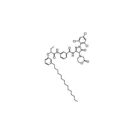 CCCCCCCCCCCCCCCc1cccc(OC(CC)C(=O)Nc2cccc(C(=O)NC3=NN(c4c(Cl)cc(Cl)cc4Cl)C(=O)C3N3CCOC(=O)C3)c2)c1